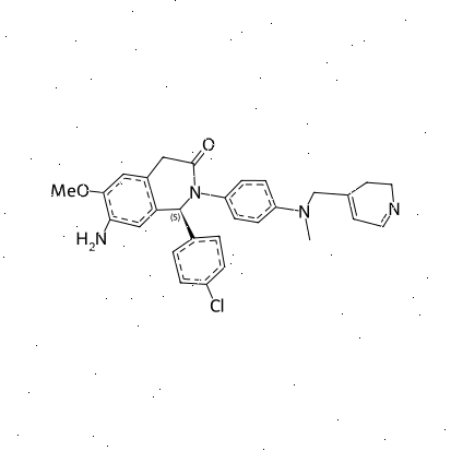 COc1cc2c(cc1N)[C@H](c1ccc(Cl)cc1)N(c1ccc(N(C)CC3=CC=NCC3)cc1)C(=O)C2